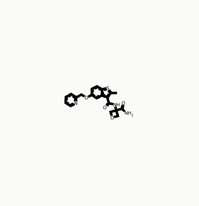 Cc1sc2ccc(OCc3ccccn3)cc2c1C(=O)NC1(C(N)=O)COC1